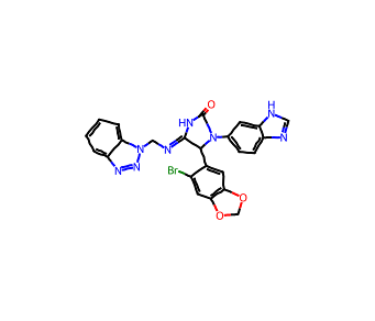 O=C1NC(=NCn2nnc3ccccc32)C(c2cc3c(cc2Br)OCO3)N1c1ccc2nc[nH]c2c1